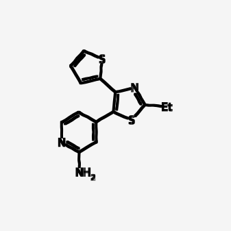 CCc1nc(-c2cccs2)c(-c2ccnc(N)c2)s1